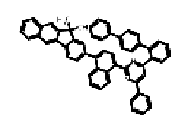 CC1(C)c2cc(-c3ccc(-c4nc(-c5ccccc5)cc(-c5ccccc5-c5ccc(-c6ccccc6)cc5)n4)c4ccccc34)ccc2-c2cc3ccccc3cc21